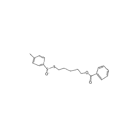 Cc1ccc([S+]([O-])SCCCCCOC(=O)c2ccccc2)cc1